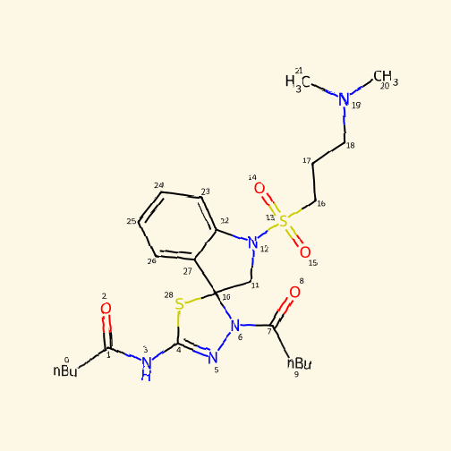 CCCCC(=O)NC1=NN(C(=O)CCCC)C2(CN(S(=O)(=O)CCCN(C)C)c3ccccc32)S1